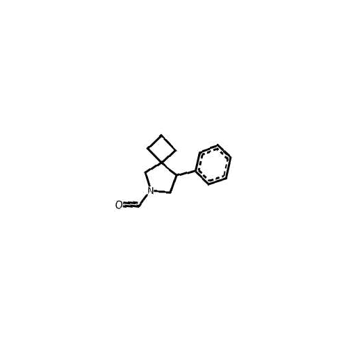 O=CN1CC(c2ccccc2)C2(CCC2)C1